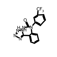 NC(=O)N(c1cccc(C(F)(F)F)c1)c1ccccc1-c1nnn[nH]1